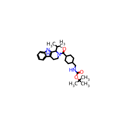 CC(C)C1c2[nH]c3ccccc3c2CCN1C(=O)C1CCC(CNC(=O)OC(C)(C)C)CC1